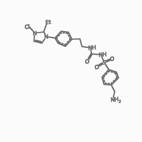 CCC1N(Cl)C=CN1c1ccc(CCNC(=O)NS(=O)(=O)c2ccc(CN)cc2)cc1